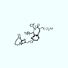 CCCC1c2cc(OCCc3cn4c(n3)NCCC4)ccc2CC(CC(=O)O)C(=O)N1CC(F)(F)F